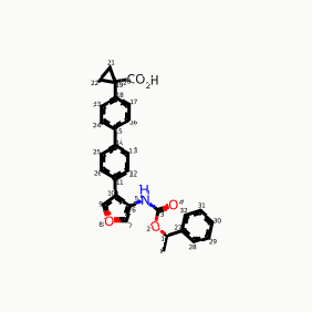 CC(OC(=O)Nc1cocc1-c1ccc(-c2ccc(C3(C(=O)O)CC3)cc2)cc1)c1ccccc1